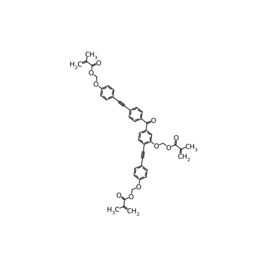 C=C(C)C(=O)OCOc1ccc(C#Cc2ccc(C(=O)c3ccc(C#Cc4ccc(OCOC(=O)C(=C)C)cc4)c(OCOC(=O)C(=C)C)c3)cc2)cc1